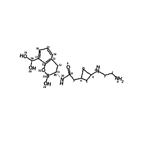 NCCNC1CC(CC(=O)N[C@H]2Cc3cccc(C(O)O)c3OB2O)C1